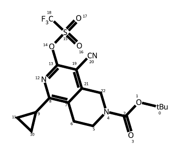 CC(C)(C)OC(=O)N1CCc2c(C3CC3)nc(OS(=O)(=O)C(F)(F)F)c(C#N)c2C1